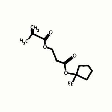 C=C(C)C(=O)OCCC(=O)OC1(CC)CCCC1